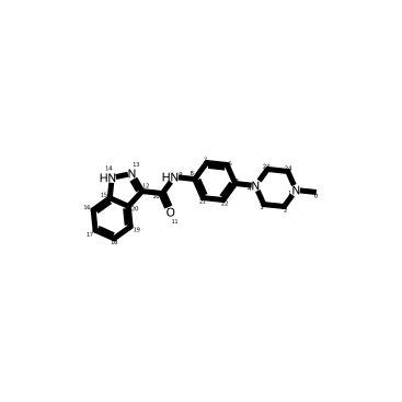 CN1CCN(c2ccc(NC(=O)c3n[nH]c4ccccc34)cc2)CC1